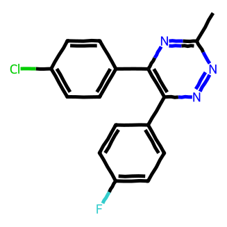 Cc1nnc(-c2ccc(F)cc2)c(-c2ccc(Cl)cc2)n1